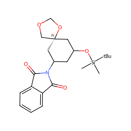 CC(C)(C)[Si](C)(C)OC1CC(N2C(=O)c3ccccc3C2=O)C[C@@]2(COCO2)C1